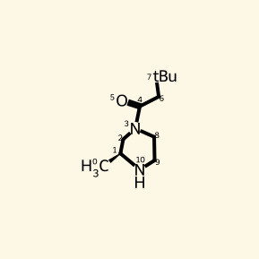 C[C@H]1CN(C(=O)CC(C)(C)C)CCN1